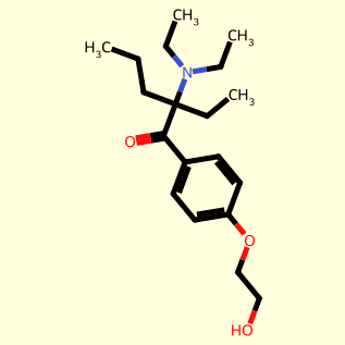 CCCC(CC)(C(=O)c1ccc(OCCO)cc1)N(CC)CC